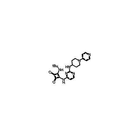 CC(C)(C)Nc1c(Nc2ccnc(NC3CCN(c4ccncc4)CC3)n2)c(=O)c1=O